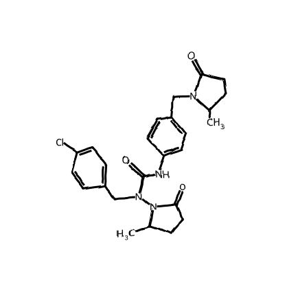 CC1CCC(=O)N1Cc1ccc(NC(=O)N(Cc2ccc(Cl)cc2)N2C(=O)CCC2C)cc1